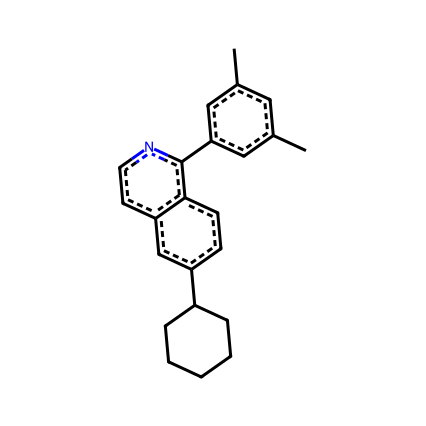 Cc1cc(C)cc(-c2nccc3cc(C4CCCCC4)ccc23)c1